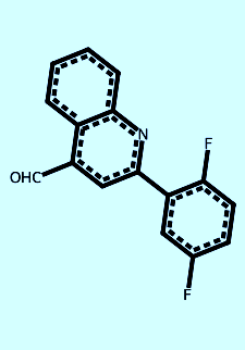 O=Cc1cc(-c2cc(F)ccc2F)nc2ccccc12